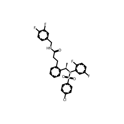 C[C@H](c1ccccc1CCC(=O)NCc1ccc(F)c(F)c1)N(c1cc(F)ccc1F)S(=O)(=O)c1ccc(Cl)cc1